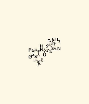 CC(F)(F)c1sc(C(=O)Nc2cc(F)c(=O)n(CC(F)F)c2)cc1C#N